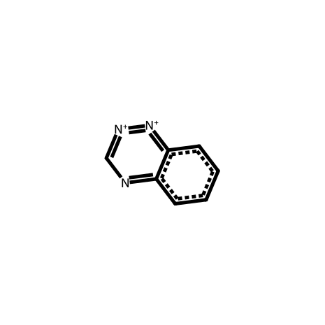 C1=[N+]=[N+]=c2ccccc2=N1